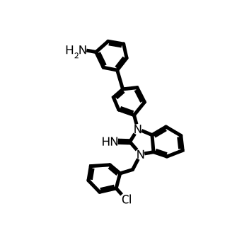 N=c1n(Cc2ccccc2Cl)c2ccccc2n1-c1ccc(-c2cccc(N)c2)cc1